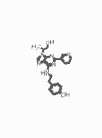 CC(CO)n1cnc2c(NCCc3ccc(O)cc3)nc(-c3cccnc3)nc21